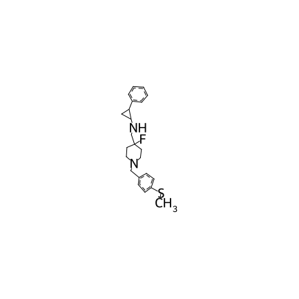 CSc1ccc(CN2CCC(F)(CNC3CC3c3ccccc3)CC2)cc1